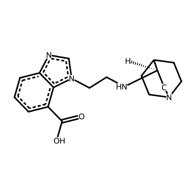 O=C(O)c1cccc2ncn(CCN[C@@H]3CN4CCC3CC4)c12